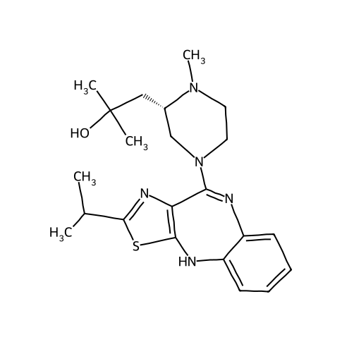 CC(C)c1nc2c(s1)Nc1ccccc1N=C2N1CCN(C)[C@@H](CC(C)(C)O)C1